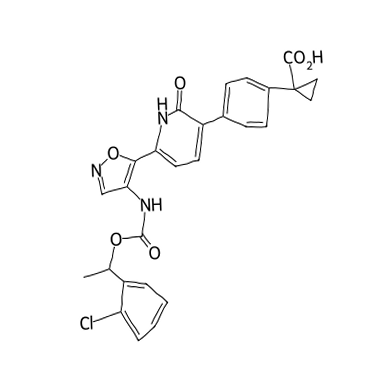 CC(OC(=O)Nc1cnoc1-c1ccc(-c2ccc(C3(C(=O)O)CC3)cc2)c(=O)[nH]1)c1ccccc1Cl